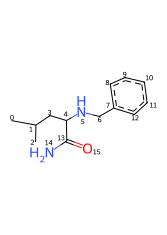 CC(C)CC(NCc1ccccc1)C(N)=O